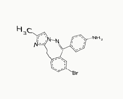 Cc1cn2c(n1)Cc1ccc(Br)cc1C(c1ccc(N)cc1)=N2